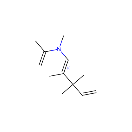 C=CC(C)(C)/C(C)=C/N(C)C(=C)C